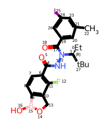 CC[C@@H](N(NC(=O)c1ccc2c(c1F)COB2O)C(=O)c1cc(C)cc(I)c1)C(C)(C)C